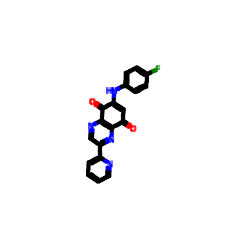 O=C1C=C(Nc2ccc(F)cc2)C(=O)c2ncc(-c3ccccn3)nc21